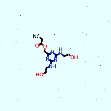 N#CCC(=O)OCc1nc(NCCO)nc(NCCO)n1